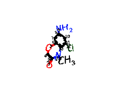 CN1C(=O)COc2cc(N)cc(Cl)c21